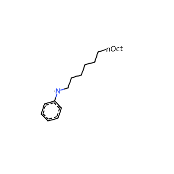 CCCCCCCCCCCCCC[N]c1ccccc1